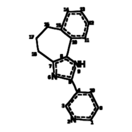 c1cncc(-c2nc3c([nH]2)-c2ccccc2CCC3)c1